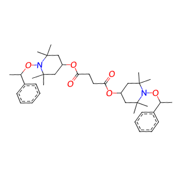 CC(ON1C(C)(C)CC(OC(=O)CCC(=O)OC2CC(C)(C)N(OC(C)c3ccccc3)C(C)(C)C2)CC1(C)C)c1ccccc1